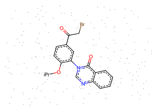 CC(C)Oc1ccc(C(=O)CBr)cc1-n1cnc2ccccc2c1=O